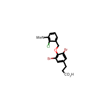 CNc1cccc(COc2c(Br)cc(CCC(=O)O)cc2Br)c1Cl